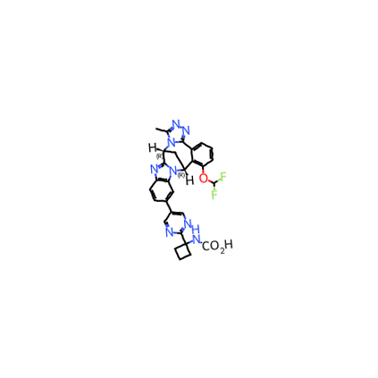 Cc1nnc2n1[C@@H]1C[C@H](c3c(OC(F)F)cccc3-2)n2c1nc1ccc(-c3cnc(C4(NC(=O)O)CCC4)nc3)cc12